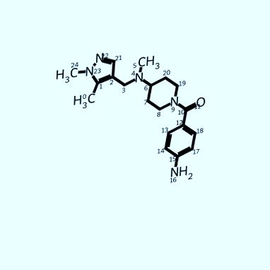 Cc1c(CN(C)C2CCN(C(=O)c3ccc(N)cc3)CC2)cnn1C